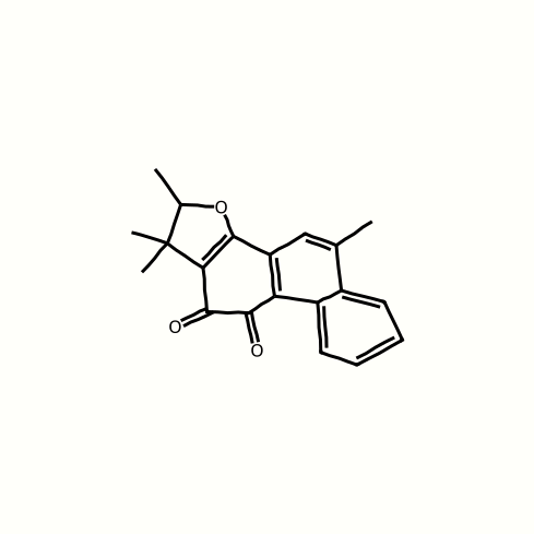 Cc1cc2c(c3ccccc13)C(=O)C(=O)C1=C2OC(C)C1(C)C